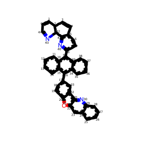 C1=CC2C=Cc3ccc(-c4c5ccccc5c(-c5ccc6oc7cc8ccccc8nc7c6c5)c5ccccc45)nc3C2N=C1